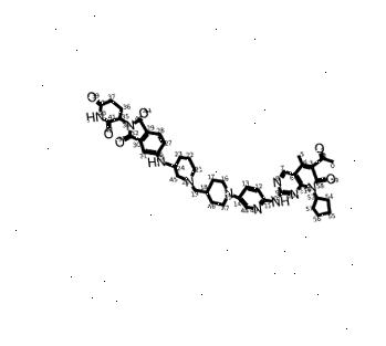 CC(=O)c1c(C)c2cnc(Nc3ccc(N4CCC(CN5CCCC(Nc6ccc7c(c6)C(=O)N(C6CCC(=O)NC6=O)C7=O)C5)CC4)cn3)nc2n(C2CCCC2)c1=O